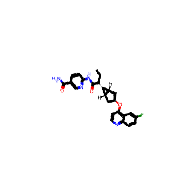 CCC(C(=O)Nc1ccc(C(N)=O)cn1)[C@@H]1[C@@H]2C[C@@H](Oc3ccnc4ccc(F)cc34)C[C@@H]21